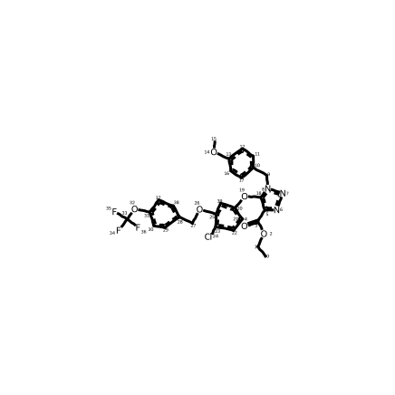 CCOC(=O)c1nnn(Cc2ccc(OC)cc2)c1Oc1ccc(Cl)c(OCc2ccc(OC(F)(F)F)cc2)c1